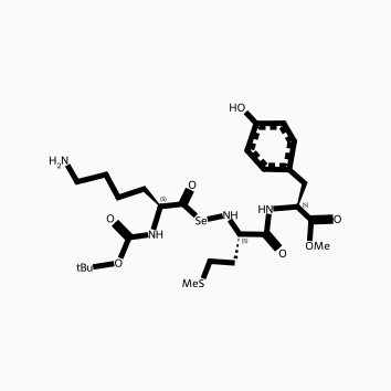 COC(=O)[C@H](Cc1ccc(O)cc1)NC(=O)[C@H](CCSC)N[Se]C(=O)[C@H](CCCCN)NC(=O)OC(C)(C)C